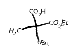 CCCCC(C)(C(=O)O)C(=O)OCC